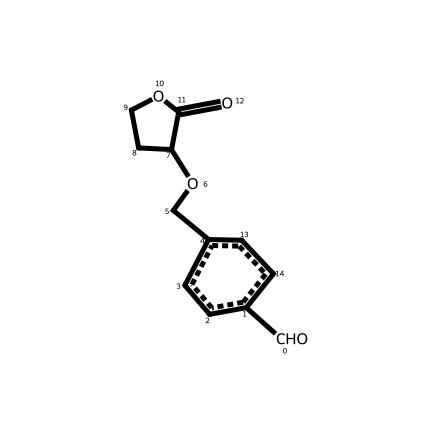 O=Cc1ccc(COC2CCOC2=O)cc1